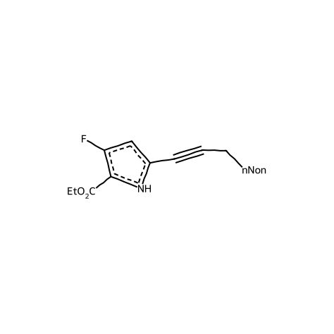 CCCCCCCCCCC#Cc1cc(F)c(C(=O)OCC)[nH]1